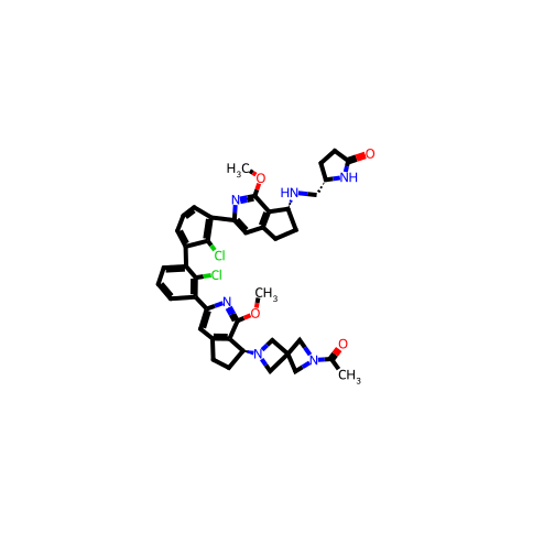 COc1nc(-c2cccc(-c3cccc(-c4cc5c(c(OC)n4)[C@@H](N4CC6(CN(C(C)=O)C6)C4)CC5)c3Cl)c2Cl)cc2c1[C@H](NC[C@@H]1CCC(=O)N1)CC2